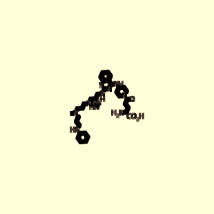 CN(CCCN/C=C(/CNc1nc(NC2CCN(C(=O)CCC(N)C(=O)O)CC2)c2ccccc2n1)N=N)CCCNC1CCCCC1